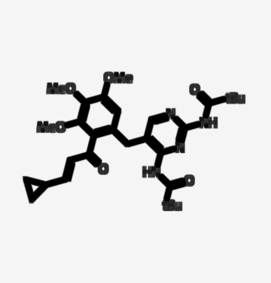 COc1cc(Cc2cnc(NC(=O)C(C)(C)C)nc2NC(=O)C(C)(C)C)c(C(=O)C=CC2CC2)c(OC)c1OC